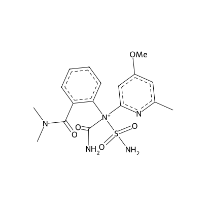 COc1cc(C)nc([N+](C(N)=O)(c2ccccc2C(=O)N(C)C)S(N)(=O)=O)c1